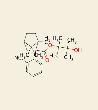 CC(C)(O)C(C)(C)OC(=O)C1(c2ccccc2C#N)CC2CCC1(C)C2(C)C